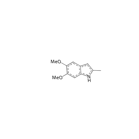 COc1cc2cc(C)[nH]c2cc1OC